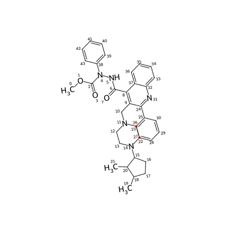 COC(=O)N(NC(=O)c1c(CN2CCN(C3CCC(C)C3C)CC2)c(-c2ccccc2)nc2ccccc12)c1ccccc1